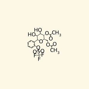 CC(=O)OC[C@H]1OC(c2ccccc2OS(=O)(=O)C(F)(F)F)[C@@H](O)[C@@H](O)[C@@H]1OC(C)=O